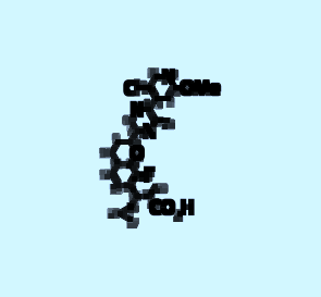 COc1cc(-c2ncc(C3CCc4ccc([C@H](C5CC5)[C@H](C)C(=O)O)c(F)c4O3)nc2C)c(Cl)cn1